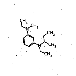 CCC(C)N(CC)c1cccc(N(C)CC)c1